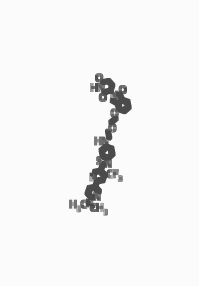 CN(C)c1ccc(-c2cc(C(F)(F)F)c(-c3nc4ccc(NCCOCCOc5cccc6c5CN(C5CCC(=O)NC5=O)C6=O)cc4s3)cn2)cn1